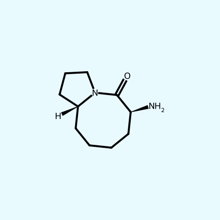 N[C@H]1CCCC[C@@H]2CCCN2C1=O